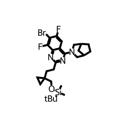 CC(C)(C)[Si](C)(C)OCC1(CCc2nc(N3CC4CCC(C4)C3)c3cc(F)c(Br)c(F)c3n2)CC1